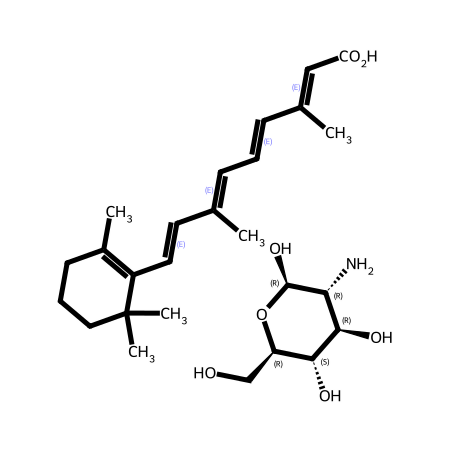 CC1=C(/C=C/C(C)=C/C=C/C(C)=C/C(=O)O)C(C)(C)CCC1.N[C@@H]1[C@@H](O)[C@H](O)[C@@H](CO)O[C@H]1O